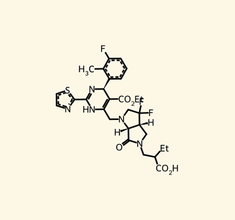 CCOC(=O)C1=C(CN2CC(F)(F)[C@@H]3CN(CC(CC)C(=O)O)C(=O)[C@@H]32)NC(c2nccs2)=N[C@H]1c1cccc(F)c1C